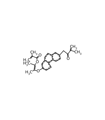 C=C(C)C(=O)Cc1ccc2c(ccc3cc(OC(C)=C(C)OC(=O)C(=C)C)ccc32)c1